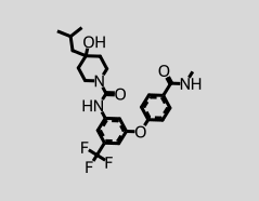 CNC(=O)c1ccc(Oc2cc(NC(=O)N3CCC(O)(CC(C)C)CC3)cc(C(F)(F)F)c2)cc1